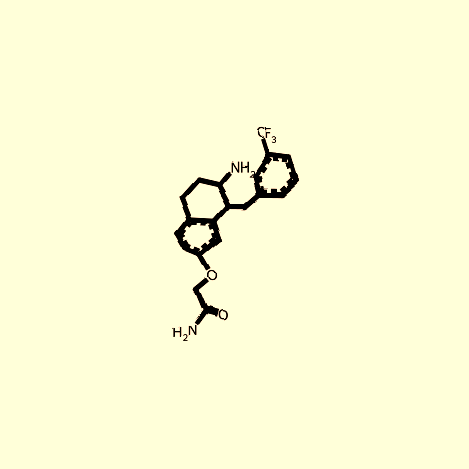 NC(=O)COc1ccc2c(c1)C(Cc1cccc(C(F)(F)F)c1)C(N)CC2